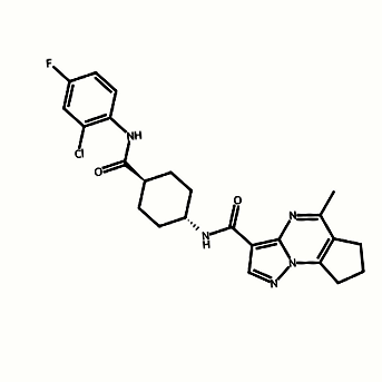 Cc1nc2c(C(=O)N[C@H]3CC[C@H](C(=O)Nc4ccc(F)cc4Cl)CC3)cnn2c2c1CCC2